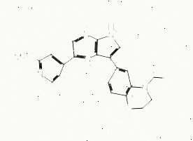 COc1cc(-c2cnc3[nH]cc(-c4ccc5c(c4)N(CC(F)(F)F)CCO5)c3n2)ccn1